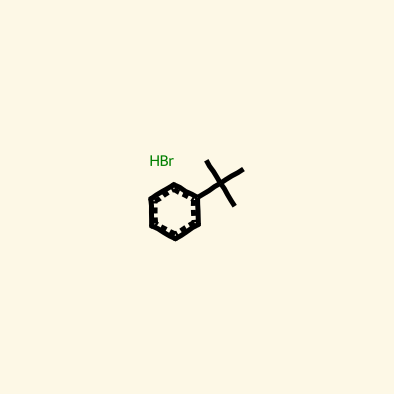 Br.CC(C)(C)c1ccccc1